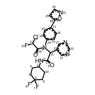 O=C(NC1CCC(F)(F)CC1)C(c1cncnc1)N(C(=O)[C@@H](F)Cl)c1ccc(-c2ccno2)cc1